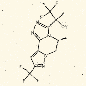 C[C@H]1Cn2nc(C(F)(F)F)cc2-c2nnc(C(C)(O)C(F)(F)F)n21